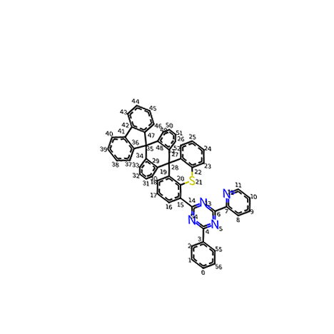 c1ccc(-c2nc(-c3ccccn3)nc(-c3cccc4c3Sc3ccccc3C43c4ccccc4C4(c5ccccc5-c5ccccc54)c4ccccc43)n2)cc1